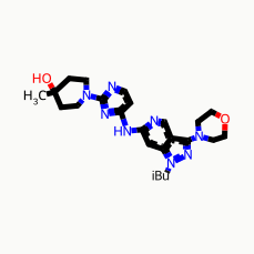 CCC(C)n1nc(N2CCOCC2)c2cnc(Nc3ccnc(N4CCC(C)(O)CC4)n3)cc21